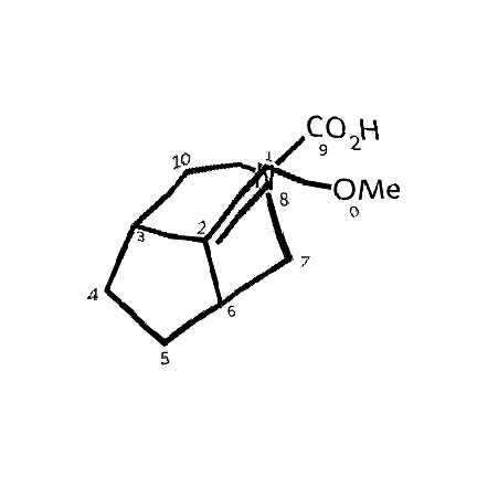 COC=C1C2CCC1CN(C(=O)O)C2